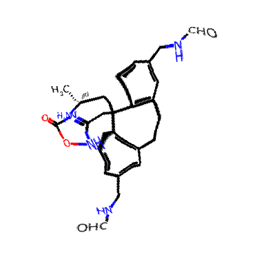 C[C@@H](N)CC1(c2nc(=O)o[nH]2)c2ccc(CNC=O)cc2CCc2cc(CNC=O)ccc21